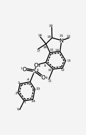 Cc1ccc(S(=O)(=O)Oc2c(C)ccc3c2C(C)(C)C(C)N3C)cc1